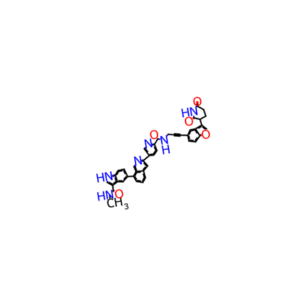 CNC(=O)c1c[nH]c2ccc(-c3cccc4cc(-c5ccc(C(=O)NCC#Cc6ccc7occ(C8CCC(=O)NC8=O)c7c6)nc5)ncc34)cc12